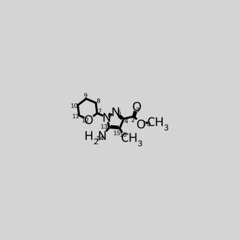 COC(=O)c1nn(C2CCCCO2)c(N)c1C